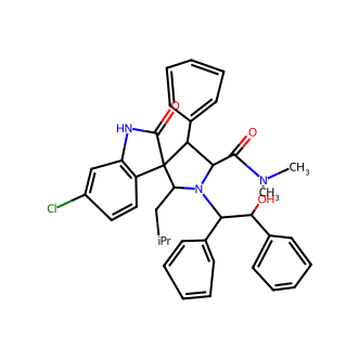 CC(C)CC1N(C(c2ccccc2)C(O)c2ccccc2)C(C(=O)N(C)C)C(c2ccccc2)C12C(=O)Nc1cc(Cl)ccc12